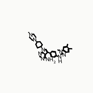 Cc1cc2nc(Nc3ccc(-c4cn(C5CCC(N6CCN(C)CC6)CC5)c5ncnc(N)c45)cc3)n(C)c2cc1C